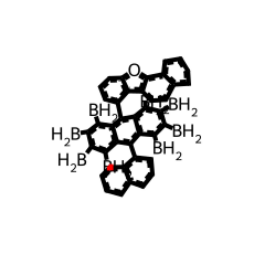 Bc1c(B)c(B)c2c(-c3cccc4oc5c6ccccc6ccc5c34)c3c(B)c(B)c(B)c(B)c3c(-c3cccc4ccccc34)c2c1B